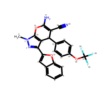 Cn1nc(-c2cc3ccccc3o2)c2c1OC(N)=C(C#N)C2c1ccc(OC(F)(F)F)cc1